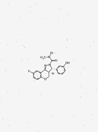 CCN(C)C(=O)N1N=C2c3cc(F)ccc3OC[C@@H]2[C@H]1c1cccc(O)c1